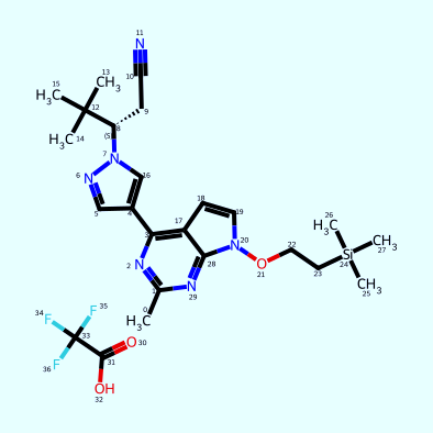 Cc1nc(-c2cnn([C@@H](CC#N)C(C)(C)C)c2)c2ccn(OCC[Si](C)(C)C)c2n1.O=C(O)C(F)(F)F